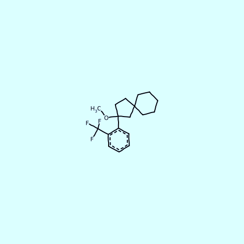 COC1(c2ccccc2C(F)(F)F)CCC2(CCCCC2)C1